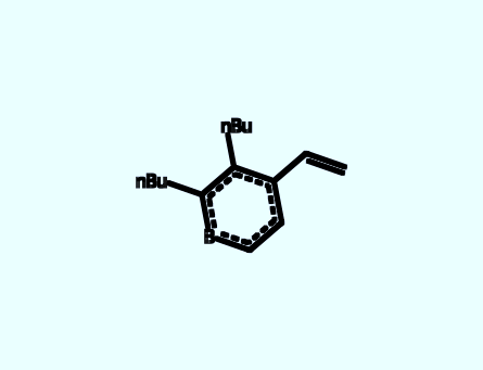 C=Cc1ccbc(CCCC)c1CCCC